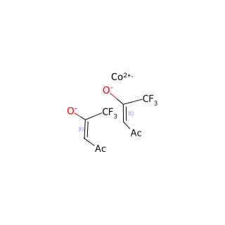 CC(=O)/C=C(/[O-])C(F)(F)F.CC(=O)/C=C(/[O-])C(F)(F)F.[Co+2]